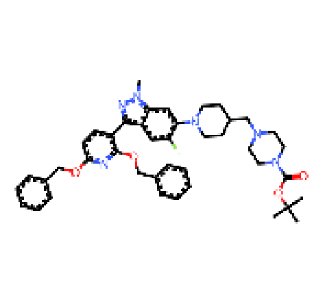 Cn1nc(-c2ccc(OCc3ccccc3)nc2OCc2ccccc2)c2cc(F)c(N3CCC(CN4CCN(C(=O)OC(C)(C)C)CC4)CC3)cc21